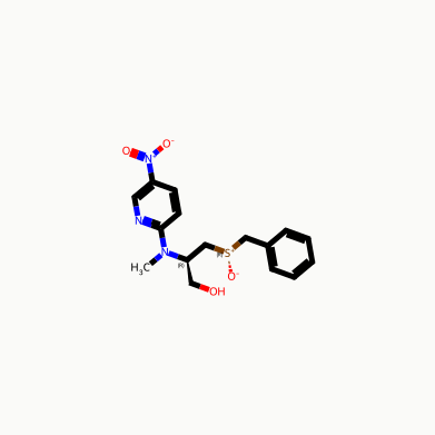 CN(c1ccc([N+](=O)[O-])cn1)[C@H](CO)C[S@@+]([O-])Cc1ccccc1